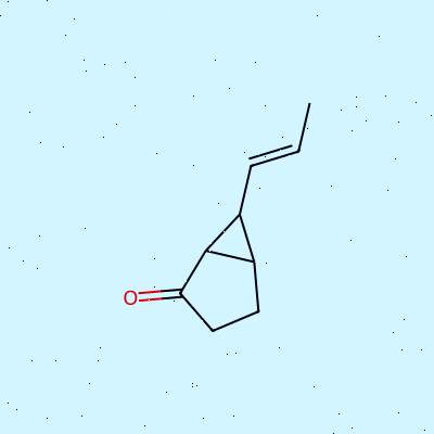 CC=CC1C2CCC(=O)C12